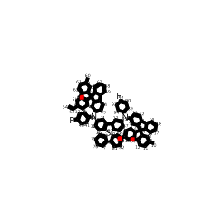 C=CC1=CCC(C2(C3CC(C)=CCC3C)C3C=CC=CC3C3C=CC(N(C4=CC5C6=C(CCC(N(C7=CC=C(F)CC7)C7C=CC8=C(C7)C(C7=CCC(C=C)CC7)(C7CC(C)=CC=C7C)C7C=CC=CC87)=C6)[Si](C6=CCCC=C6)(C6C=CC=CC6)C5C=C4)C4CC=C(F)CC4)=CC32)C=C1